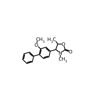 COc1cc(C2C(C)OC(=O)N2C)ccc1-c1ccccc1